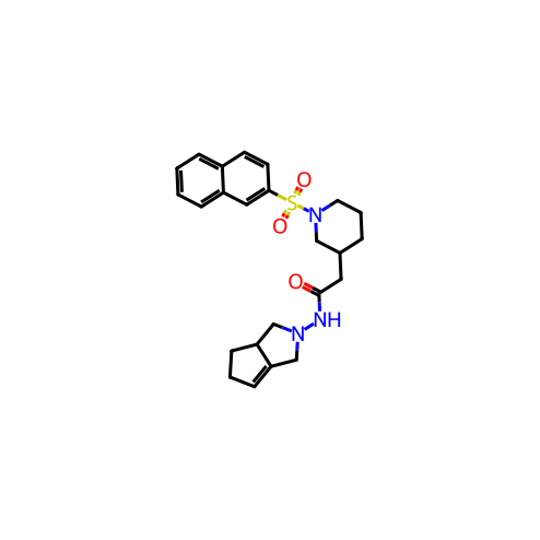 O=C(CC1CCCN(S(=O)(=O)c2ccc3ccccc3c2)C1)NN1CC2=CCCC2C1